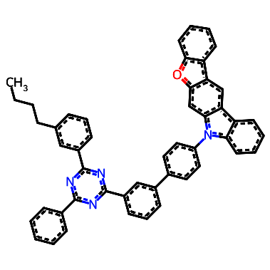 CCCCc1cccc(-c2nc(-c3ccccc3)nc(-c3cccc(-c4ccc(-n5c6ccccc6c6cc7c(cc65)oc5ccccc57)cc4)c3)n2)c1